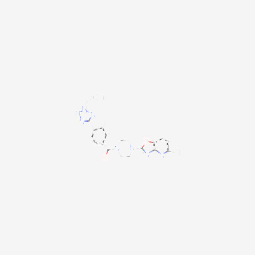 Cc1cc(C(=O)N2CCN(c3nc4nc(Cl)ccc4o3)CC2)ccc1-c1nnn(CC(C)(C)C)n1